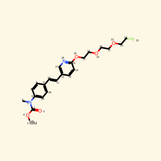 CN(C(=O)OC(C)(C)C)c1ccc(/C=C/c2ccc(OCCOCCOCC[18F])nc2)cc1